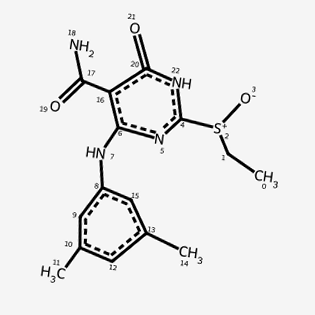 CC[S+]([O-])c1nc(Nc2cc(C)cc(C)c2)c(C(N)=O)c(=O)[nH]1